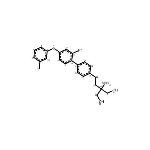 Cc1cccc(Sc2ccc(-c3ccc(CCC(N)(CO)CO)cc3)c(F)c2)c1